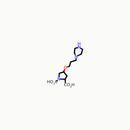 O=C(O)C1CC(OCCCN2CCNCC2)CN1C(=O)O